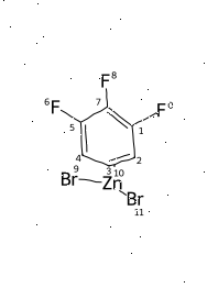 Fc1c[c]cc(F)c1F.[Br][Zn][Br]